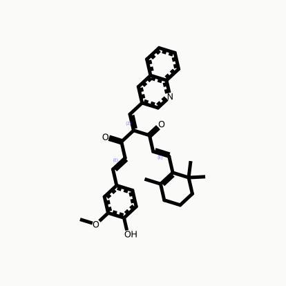 COc1cc(/C=C/C(=O)/C(=C/c2cnc3ccccc3c2)C(=O)/C=C/C2=C(C)CCCC2(C)C)ccc1O